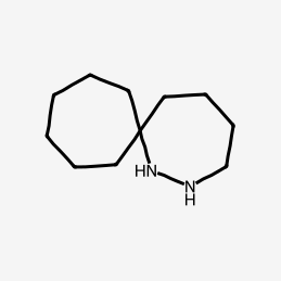 C1CCCC2(CC1)CCCCNN2